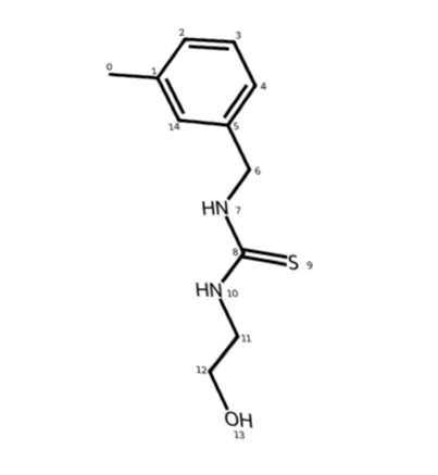 Cc1cccc(CNC(=S)NCCO)c1